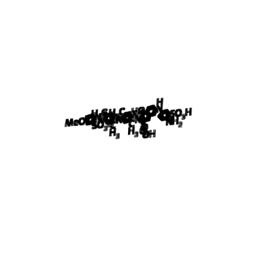 COc1ccc(N=Nc2cc(C)c(N=Nc3cc(C)c(N=Nc4c(SOOO)cc5cc(Nc6ccc(N)c(S(=O)(=O)O)c6)ccc5c4O)cc3C)cc2C)c(S(=O)(=O)O)c1